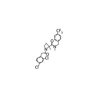 CN(Cc1ccc(C(F)(F)F)cc1)C(=O)C1(C)CCN1C(=O)Cc1ccc(Cl)cc1Cl